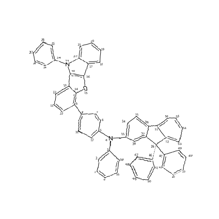 c1ccc(N(c2ccc(-c3cccc4c3oc3c5ccccc5n(-c5ccccc5)c43)cc2)c2ccc3c(c2)C(c2ccccc2)(c2ccccc2)c2ccccc2-3)cc1